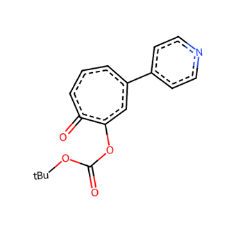 CC(C)(C)OC(=O)Oc1cc(-c2ccncc2)cccc1=O